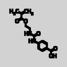 C=C(C)C(=O)OCCNC(=O)Nc1ccc(C(=O)O)cc1